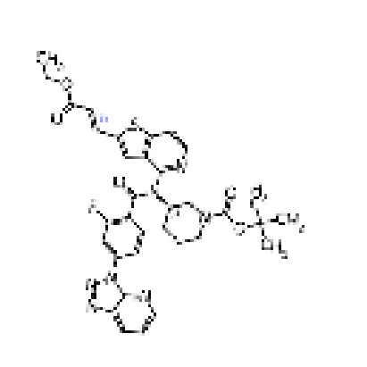 CCOC(=O)/C=C/c1cc2c(N(C(=O)c3ccc(-n4nnc5cccnc54)cc3F)[C@@H]3CCCN(C(=O)OC(C)(C)C)C3)nccc2s1